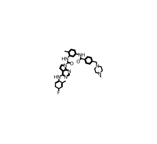 CC1=CC(F)CC=C1Nc1ncnc2c1ccn2C(=O)Nc1cc(NC(=O)c2ccc(CN3CCN(C)CC3)cc2)ccc1C